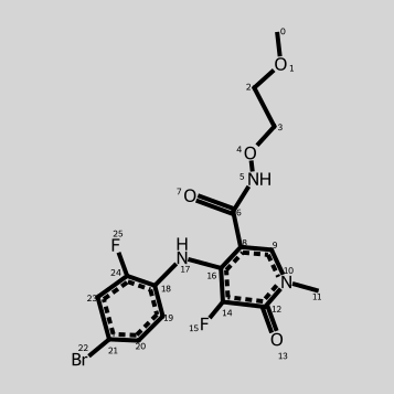 COCCONC(=O)c1cn(C)c(=O)c(F)c1Nc1ccc(Br)cc1F